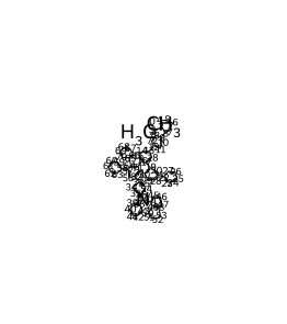 CC1(C)c2ccccc2-c2ccc(-c3ccc4c(c3)c3cc(-c5ccccc5)ccc3c3c(-c5ccc(N(c6ccccc6)c6cccc7c6C=CCC7)cc5)cc(-c5ccccc5)c(-c5ccccc5)c43)cc21